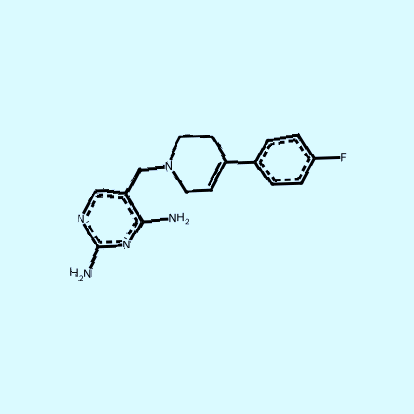 Nc1ncc(CN2CC=C(c3ccc(F)cc3)CC2)c(N)n1